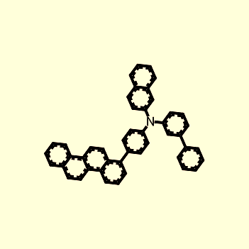 c1ccc(-c2cccc(N(c3ccc(-c4cccc5c4ccc4c6ccccc6ccc54)cc3)c3ccc4ccccc4c3)c2)cc1